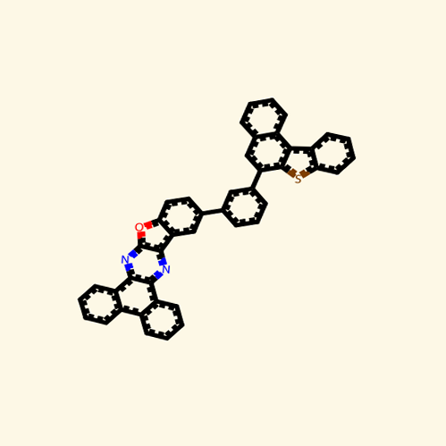 c1cc(-c2ccc3oc4nc5c6ccccc6c6ccccc6c5nc4c3c2)cc(-c2cc3ccccc3c3c2sc2ccccc23)c1